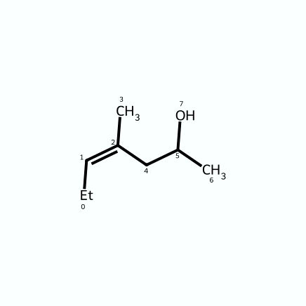 CCC=C(C)CC(C)O